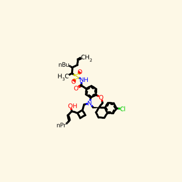 C=CCC(CCCC)C(C)S(=O)(=O)NC(=O)c1ccc2c(c1)N(CC1CCC1C(O)/C=C/CCC)C[C@@]1(CCCc3cc(Cl)ccc31)CO2